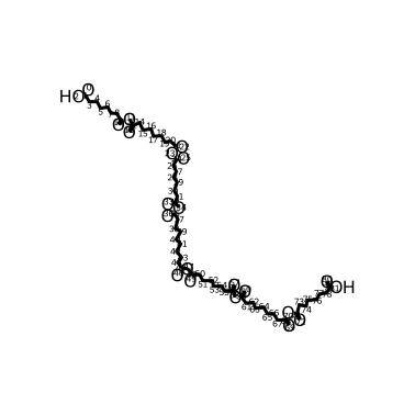 O=C(O)CCCCCCC(=O)OC(=O)CCCCCCCC(=O)OC(=O)CCCCCCC(=O)OC(=O)CCCCCCCCC(=O)OC(=O)CCCCCCC(=O)OC(=O)CCCCCCCC(=O)OC(=O)CCCCCCC(=O)O